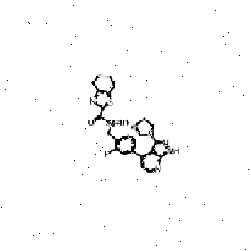 CC(=O)N[C@@H]1CCN(c2n[nH]c3nccc(-c4ccc(CNC(=O)c5nc6c(s5)CCCC6)c(F)c4)c23)C1